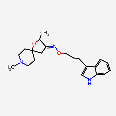 CC1OC2(CCN(C)CC2)C/C1=N\OCCCc1c[nH]c2ccccc12